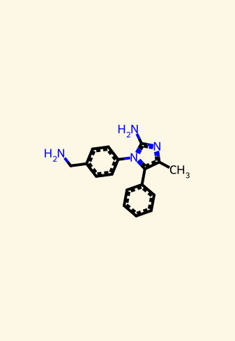 Cc1nc(N)n(-c2ccc(CN)cc2)c1-c1ccccc1